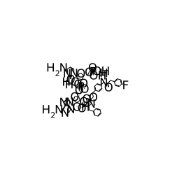 CN(C(=O)OCc1ccc(NC(=O)Cc2ccc(F)cc2)cc1)[C@@H](Cc1ccccc1)C(=O)O[C@@H]1[C@H](O)[C@H](n2cnc3c(N)ncnc32)O[C@@H]1COP(=O)(O)O[C@@H]1[C@H](O)[C@H](n2ccc(N)nc2=O)O[C@@H]1COP(=O)(O)O